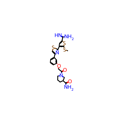 CSc1sc(C(=N)N)cc1-c1nc(-c2cccc(OCC(=O)N3CCCC(C(N)=O)C3)c2)cs1